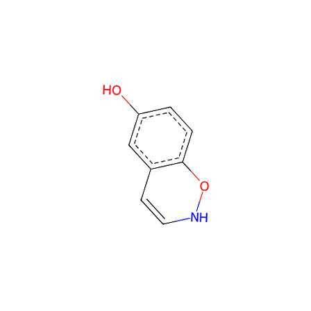 Oc1ccc2c(c1)C=CNO2